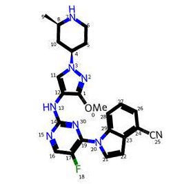 COc1nn([C@@H]2CCN[C@H](C)C2)cc1Nc1ncc(F)c(-n2ccc3c(C#N)cccc32)n1